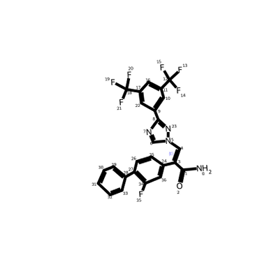 NC(=O)/C(=C/n1cnc(-c2cc(C(F)(F)F)cc(C(F)(F)F)c2)n1)c1ccc(-c2ccccc2)c(F)c1